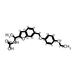 CCOc1ccc(OCc2ccc3cc(C(C)NC(=O)O)oc3c2)cc1